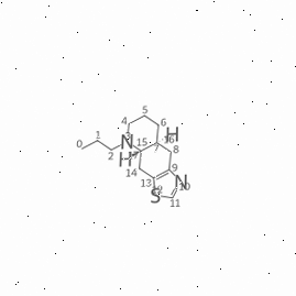 CCCN1CCC[C@H]2Cc3ncsc3C[C@@H]21